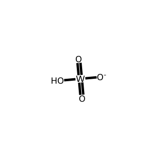 [O]=[W](=[O])([O-])[OH]